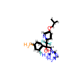 CC(C)COc1ccc(C(F)(F)C(O)(CN(N)/C=N\N)c2ccc(P)cc2F)nc1